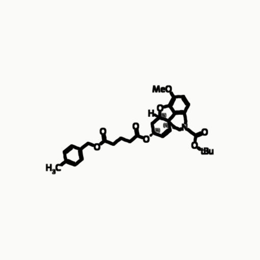 COc1ccc2c3c1O[C@H]1C[C@@H](OC(=O)CCCC(=O)OCc4ccc(C)cc4)C=C[C@@]31CCN(C(=O)OC(C)(C)C)C2